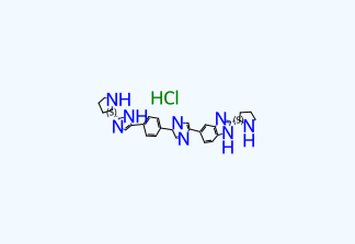 Cl.c1cc(-c2cnc([C@@H]3CCCN3)[nH]2)ccc1-c1cnc(-c2ccc3[nH]c([C@@H]4CCCN4)nc3c2)cn1